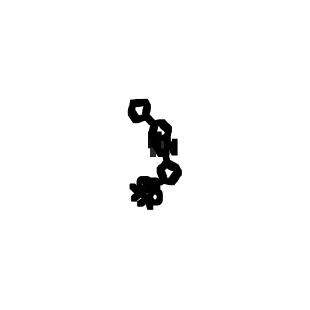 CC1(C)OB(c2cccc(-c3nc4ccc(-c5ccccc5)cn4n3)c2)OC1(C)C